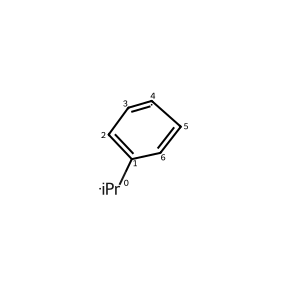 C[C](C)c1cc[c]cc1